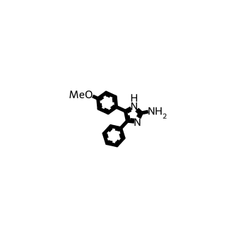 COc1ccc(-c2[nH]c(N)nc2-c2ccccc2)cc1